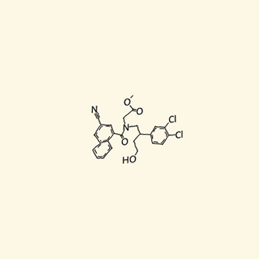 COC(=O)CN(CC(CCO)c1ccc(Cl)c(Cl)c1)C(=O)c1cc(C#N)cc2ccccc12